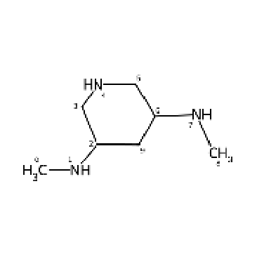 CNC1CNCC(NC)C1